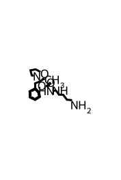 CC(=O)C(Cc1ccccc1)(OC(=O)NNCCCCN)N1CCCC1